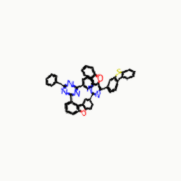 c1ccc(-c2nc(-c3ccccc3)nc(-c3cccc4oc5ccc(-c6nc(-c7ccc8c(c7)sc7ccccc78)c7oc8ccccc8c7n6)cc5c34)n2)cc1